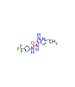 CCc1ccc2c(NC(=O)Nc3ccc(C(F)(F)F)cc3)c[nH]c2n1